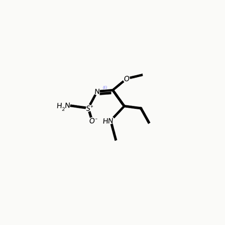 CCC(NC)/C(=N\[S+](N)[O-])OC